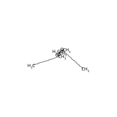 CCCCCCCCCCCCCCCCCCCCCCCCCC(C)C(=O)OCC(C)(C)COC(=O)C(C)CCCCCCCCCCCCCCCCCCCCCCCCC